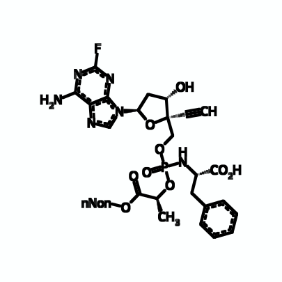 C#C[C@]1(COP(=O)(N[C@@H](Cc2ccccc2)C(=O)O)O[C@@H](C)C(=O)OCCCCCCCCC)O[C@@H](n2cnc3c(N)nc(F)nc32)C[C@@H]1O